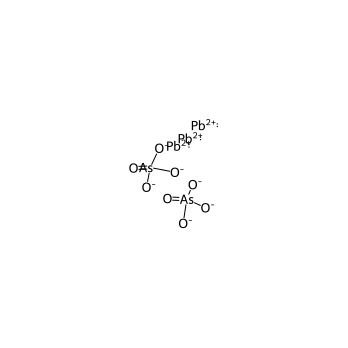 O=[As]([O-])([O-])[O-].O=[As]([O-])([O-])[O-].[Pb+2].[Pb+2].[Pb+2]